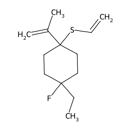 C=CSC1(C(=C)C)CCC(F)(CC)CC1